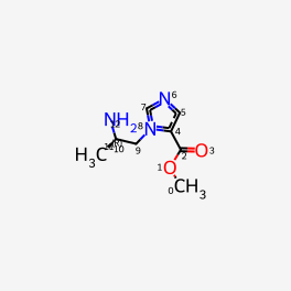 COC(=O)c1cncn1C[C@@H](C)N